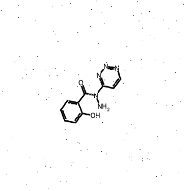 NN(C(=O)c1ccccc1O)c1ccnnn1